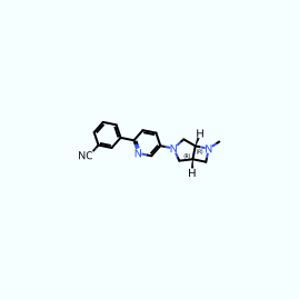 CN1C[C@@H]2CN(c3ccc(-c4cccc(C#N)c4)nc3)C[C@@H]21